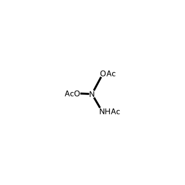 CC(=O)NN(OC(C)=O)OC(C)=O